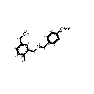 COc1ccc(COCc2cc(CO)ccc2C)cc1